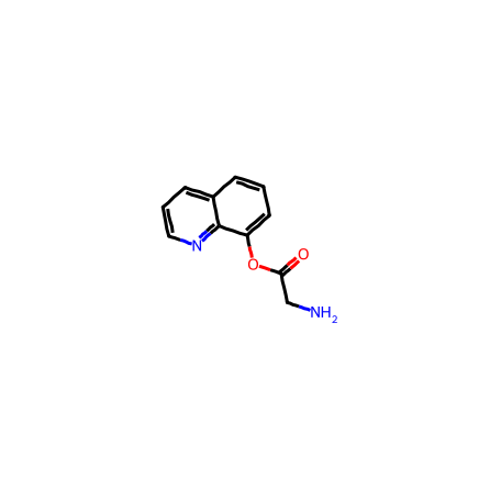 NCC(=O)Oc1cccc2cccnc12